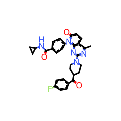 Cc1nc(N2CCC(C(=O)c3ccc(F)cc3)CC2)nc2c1ccc(=O)n2-c1ccc(C(=O)NC2CC2)cc1